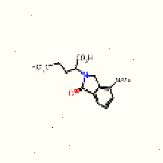 CNc1cccc2c1CN(C(CCC(=O)O)C(=O)O)C2=O